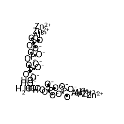 O.O=P([O-])([O-])[O-].O=P([O-])([O-])[O-].O=P([O-])([O-])[O-].O=P([O-])([O-])[O-].O=P([O-])([O-])[O-].[Al+3].[Al+3].[Al+3].[Al+3].[OH-].[OH-].[OH-].[OH-].[OH-].[Zn+2].[Zn+2].[Zn+2].[Zn+2]